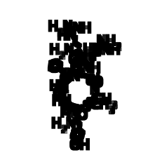 CC1(C)CNC(=O)CC[C@H](C(=O)N[C@@H](CCCNC(=N)N)C(=O)N[C@@H](CCCNC(=N)N)C(N)=O)NC(=O)[C@H](CCc2ccccc2)NC(=O)CNC(=O)[C@@H](NC(=O)[C@@H](N)Cc2ccc(O)cc2)CSS1